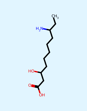 CCC(N)CCCCCC(O)CC(=O)O